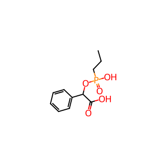 CCCP(=O)(O)OC(C(=O)O)c1ccccc1